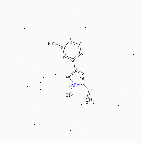 C=Cc1cc(-c2cccc(C#N)c2)cn1CC